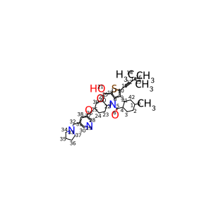 CC1CCC(C(=O)N(c2cc(C#CC(C)(C)C)sc2C(=O)O)[C@H]2CC[C@H](Oc3cncc(CN4CCCC4)c3)CC2)CC1